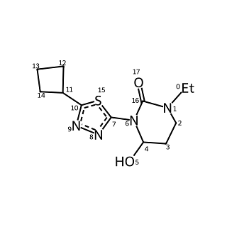 CCN1CCC(O)N(c2nnc(C3CCC3)s2)C1=O